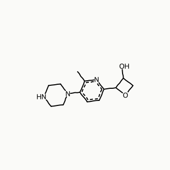 Cc1nc(C2OCC2O)ccc1N1CCNCC1